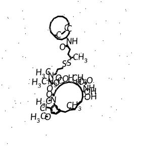 COc1cc2cc(c1Cl)N(C)C(=O)C[C@H](OC(=O)[C@H](C)N(C)C(=O)CCSSC(C)CCC(=O)NC1CCC3CCCCCCCC(CCCC3)CC1)[C@]1(C)O[C@H]1[C@H](C)[C@@H]1C[C@@](O)(NC(=O)O1)[C@H](O)/C=C/C=C(\C)C2